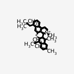 Cc1ccc2c(C(C)(C)C)c3c(c(C)c2c1)-c1c2c(cc4c(CC(C)(C)C)cccc4c2cc[n+]1C)S3